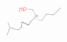 CCCC[C@@H](CO)CCCC(C)C